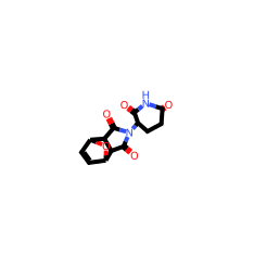 O=C1CCC(N2C(=O)C3C4C=CC(O4)C3C2=O)C(=O)N1